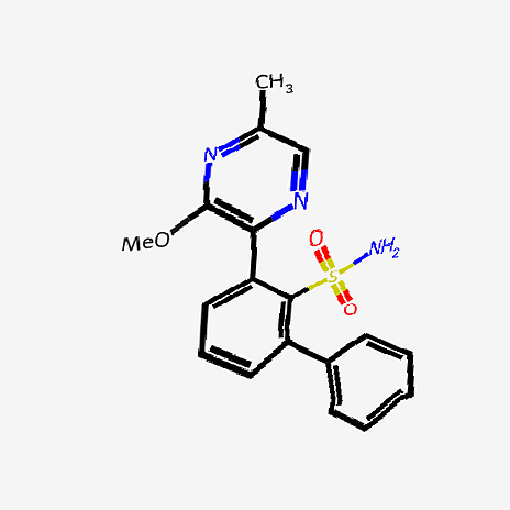 COc1nc(C)cnc1-c1cccc(-c2ccccc2)c1S(N)(=O)=O